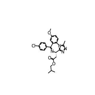 COc1ccc2c(c1)C(c1ccc(Cl)cc1)=N[C@@H](CC(=O)OCC(C)C)c1nnc(C)n1-2